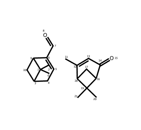 CC1(C)C2CC=C(C=O)C1C2.CC1=CC(=O)C2CC1C2(C)C